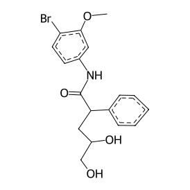 COc1cc(NC(=O)C(CC(O)CO)c2ccccc2)ccc1Br